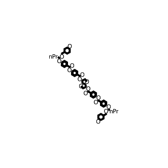 CCCC(OCC1CCC2OC2C1)Oc1ccc(C(=O)Oc2ccc(C(=O)OC3COC4C(OC(=O)c5ccc(OC(=O)c6ccc(OC(CCC)OCC7CCC8OC8C7)cc6)cc5)COC34)cc2)cc1